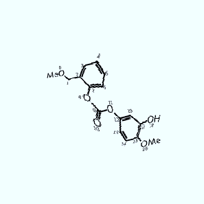 COCc1ccccc1OC(=O)Oc1ccc(OC)c(O)c1